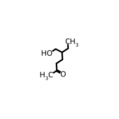 CCC(CO)CCC(C)=O